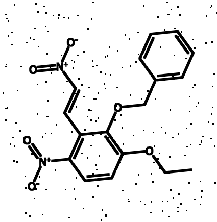 CCOc1ccc([N+](=O)[O-])c(C=C[N+](=O)[O-])c1OCc1ccccc1